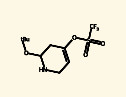 CC(C)(C)OC1CC(OS(=O)(=O)C(F)(F)F)=CCN1